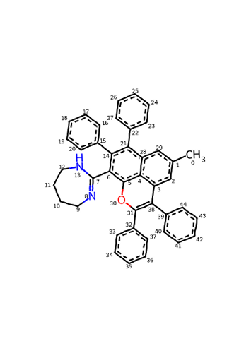 Cc1cc2c3c(c(C4=NCCCCN4)c(-c4ccccc4)c(-c4ccccc4)c3c1)OC(c1ccccc1)=C2c1ccccc1